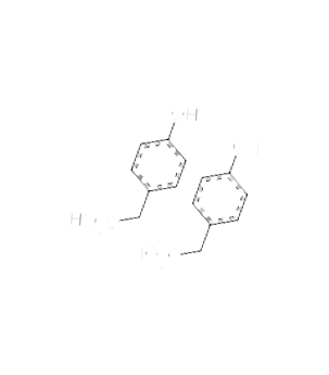 O=C(O)Cc1ccc(O)cc1.O=C(O)Cc1ccc(O)cc1